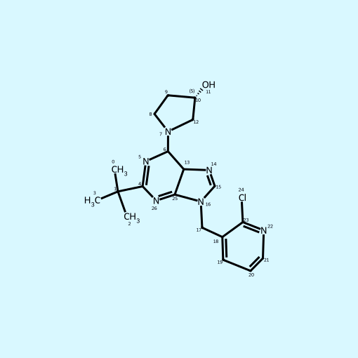 CC(C)(C)C1=NC(N2CC[C@H](O)C2)C2N=CN(Cc3cccnc3Cl)C2=N1